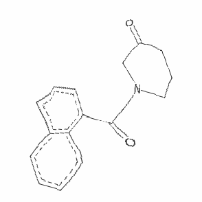 O=C1CCCN(C(=O)c2cccc3ccccc23)C1